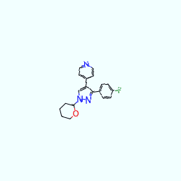 Fc1ccc(-c2nn(C3CCCCO3)cc2-c2ccncc2)cc1